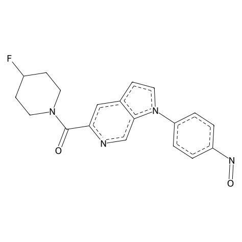 O=Nc1ccc(-n2ccc3cc(C(=O)N4CCC(F)CC4)ncc32)cc1